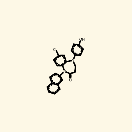 O=C1CCN(c2ccc(O)cc2)c2cc(Cl)ccc2N1c1ccc2ccccc2c1